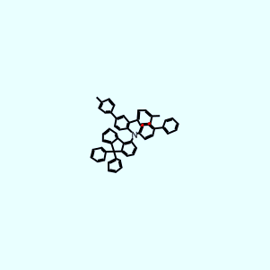 Cc1ccc(-c2ccc(N(c3ccc(-c4ccccc4)cc3)c3cccc4c3-c3ccccc3C4(c3ccccc3)c3ccccc3)c(-c3ccc(C)cc3)c2)cc1